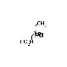 C=CN(Br)CC(=O)O.Cl